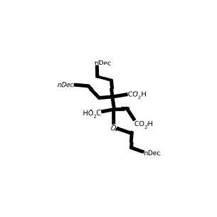 CCCCCCCCCCCCOC(CC(=O)O)(C(=O)O)C(CCCCCCCCCCCC)(CCCCCCCCCCCC)C(=O)O